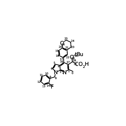 Cc1nc2c(ccn2Cc2ccccc2F)c(-c2ccc3c(c2)CCCO3)c1C(OC(C)(C)C)C(=O)O